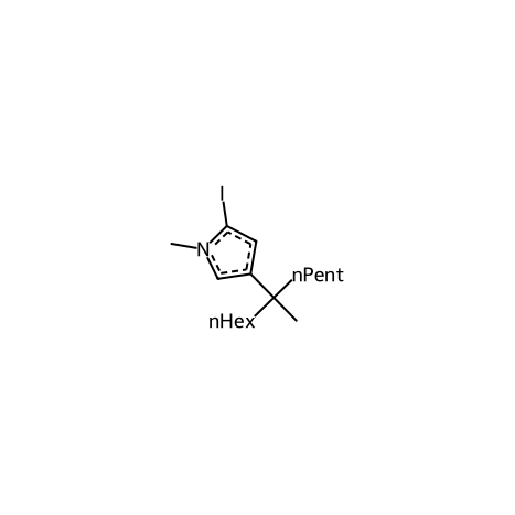 CCCCCCC(C)(CCCCC)c1cc(I)n(C)c1